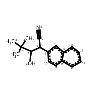 CC(C)(C)C(O)C(C#N)c1ccc2ccccc2c1